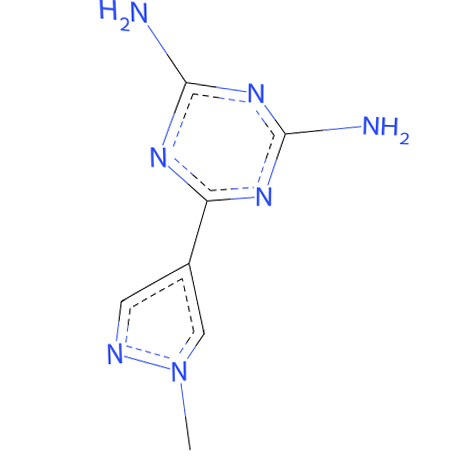 Cn1cc(-c2nc(N)nc(N)n2)cn1